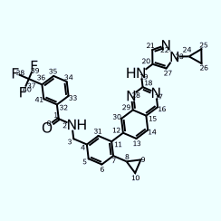 O=C(NCc1ccc(C2CC2)c(-c2ccc3cnc(Nc4cnn(C5CC5)c4)nc3c2)c1)c1cccc(C(F)(F)F)c1